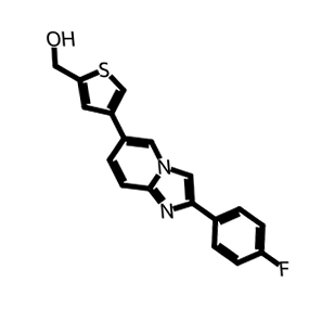 OCc1cc(-c2ccc3nc(-c4ccc(F)cc4)cn3c2)cs1